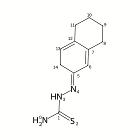 NC(=S)NN=C1C=C2CCCCC2=CC1